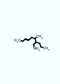 CC/C=C/CC(C)C(CN)CCC